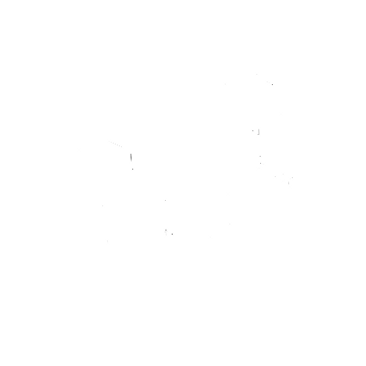 O=C(c1cc(-c2ccccc2Cl)nc2ccccc12)N1CCCCC1